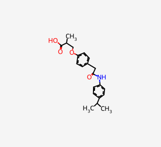 CC(COc1ccc(CC(=O)Nc2ccc(C(C)C)cc2)cc1)C(=O)O